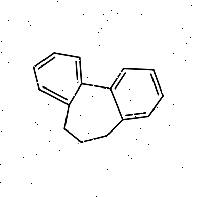 [C]1Cc2ccccc2-c2ccccc2C1